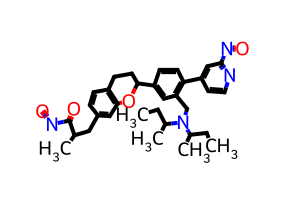 CCC(C)N(Cc1cc(C2CCc3ccc(CC(C)C(=O)N=O)cc3O2)ccc1-c1ccnc(N=O)c1)C(C)CC